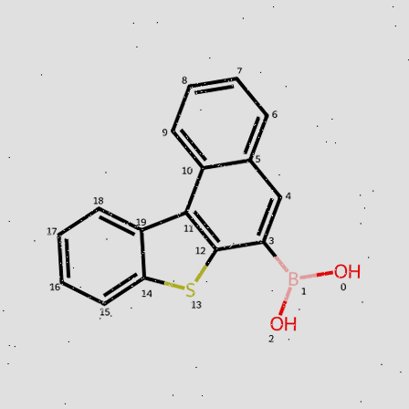 OB(O)c1cc2ccccc2c2c1sc1ccccc12